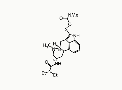 CCN(CC)C(=O)N[C@H]1CC2c3cccc4[nH]c(SOC(=O)NC)c(c34)C[C@H]2N(C)C1